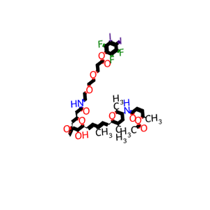 CC(=O)O[C@@H](C)/C=C\C(=O)N[C@@H]1C[C@H](C)[C@H](C/C=C(C)/C=C/[C@H]2O[C@H](CC(=O)NCCOCCOCCC(=O)Oc3c(F)c(F)c(I)c(I)c3F)C[C@@]3(CO3)[C@@H]2O)O[C@@H]1C